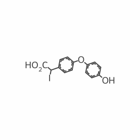 O=C(O)C(I)c1ccc(Oc2ccc(O)cc2)cc1